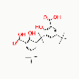 CC(C)(C)c1cc(C(=O)O)c(O)c(C(C)(C)c2cc(C(C)(C)C)cc(C(=O)O)c2O)c1